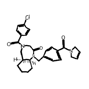 O=C(c1ccc(CN2C(=O)CN(C(=O)c3ccc(Cl)cc3)C[C@@H]3CCCC[C@@H]32)cc1)N1CC=CC1